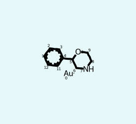 [Au].c1ccc(C2CNCCO2)cc1